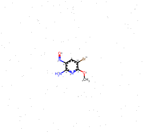 COc1nc(N)c(N=O)cc1Br